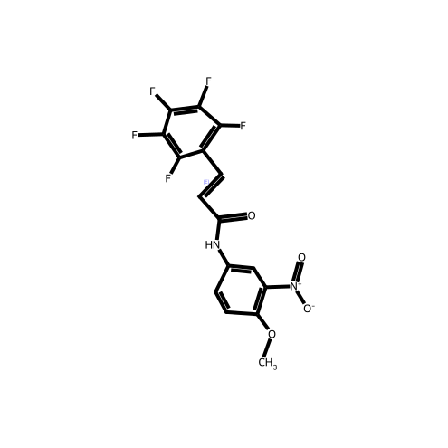 COc1ccc(NC(=O)/C=C/c2c(F)c(F)c(F)c(F)c2F)cc1[N+](=O)[O-]